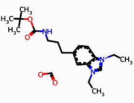 CCn1c[n+](CC)c2ccc(CCCNC(=O)OC(C)(C)C)cc21.O=C[O-]